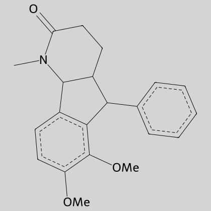 COc1ccc2c(c1OC)C(c1ccccc1)C1CCC(=O)N(C)C21